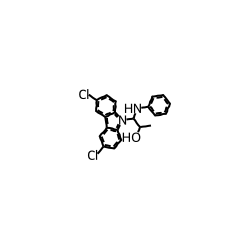 CC(O)C(Nc1ccccc1)n1c2ccc(Cl)cc2c2cc(Cl)ccc21